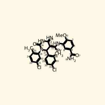 COc1ccc(C(N)=O)cc1N/C(=C1\C(=N)NC(=O)N(c2cc(Cl)ccc2C)C1c1ccc(Cl)cc1C)C(C)C